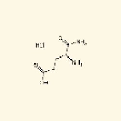 Cl.NC(=O)[C@@H](N)CCC(=O)O